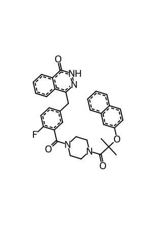 CC(C)(Oc1ccc2ccccc2c1)C(=O)N1CCN(C(=O)c2cc(Cc3n[nH]c(=O)c4ccccc34)ccc2F)CC1